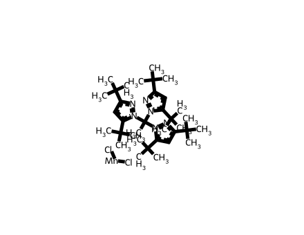 CC(C)(C)c1cc(C(C)(C)C)n(C(C)(n2nc(C(C)(C)C)cc2C(C)(C)C)n2nc(C(C)(C)C)cc2C(C)(C)C)n1.[Cl][Mn][Cl]